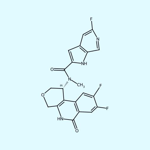 CN(C(=O)c1cc2cc(F)ncc2[nH]1)[C@H]1COCc2[nH]c(=O)c3cc(F)c(F)cc3c21